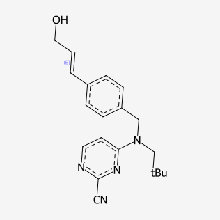 CC(C)(C)CN(Cc1ccc(/C=C/CO)cc1)c1ccnc(C#N)n1